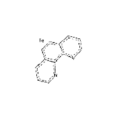 [Fe].c1cnc2c(c1)ccc1cccnc12